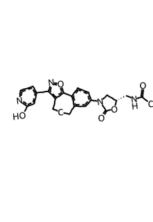 CC(=O)NC[C@H]1CN(c2ccc3c(c2)CCCc2c(-c4ccnc(O)c4)noc2-3)C(=O)O1